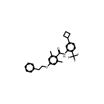 Cc1cc(OCCc2ccccc2)cc(C)c1C(=O)Nc1cc(C2CCC2)ccc1C(F)(F)F